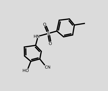 Cc1ccc(S(=O)(=O)Nc2ccc(O)c(C#N)c2)cc1